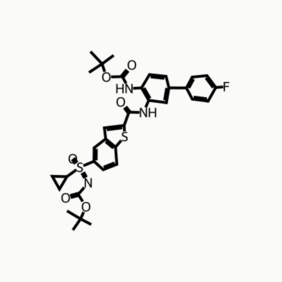 CC(C)(C)OC(=O)N=S(=O)(c1ccc2sc(C(=O)Nc3cc(-c4ccc(F)cc4)ccc3NC(=O)OC(C)(C)C)cc2c1)C1CC1